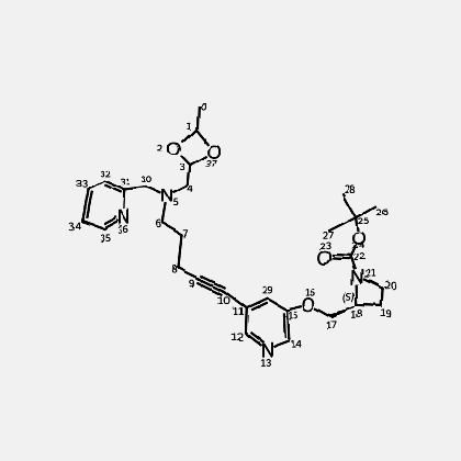 CC1OC(CN(CCCC#Cc2cncc(OC[C@@H]3CCN3C(=O)OC(C)(C)C)c2)Cc2ccccn2)O1